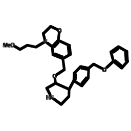 COCCCN1CCOc2ccc(COC3CNCCC3c3ccc(COc4ccccc4)cc3)cc21